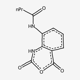 CCCC(=O)Nc1cccc2c(=O)oc(=O)[nH]c12